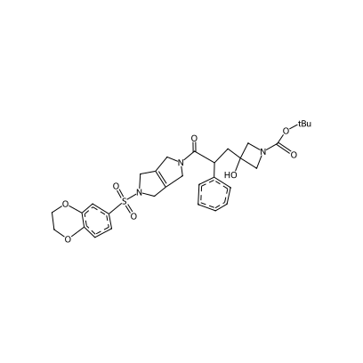 CC(C)(C)OC(=O)N1CC(O)(CC(C(=O)N2CC3=C(C2)CN(S(=O)(=O)c2ccc4c(c2)OCCO4)C3)c2ccccc2)C1